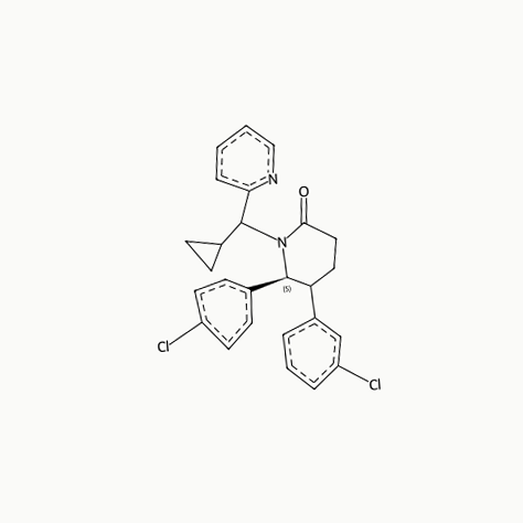 O=C1CCC(c2cccc(Cl)c2)[C@@H](c2ccc(Cl)cc2)N1C(c1ccccn1)C1CC1